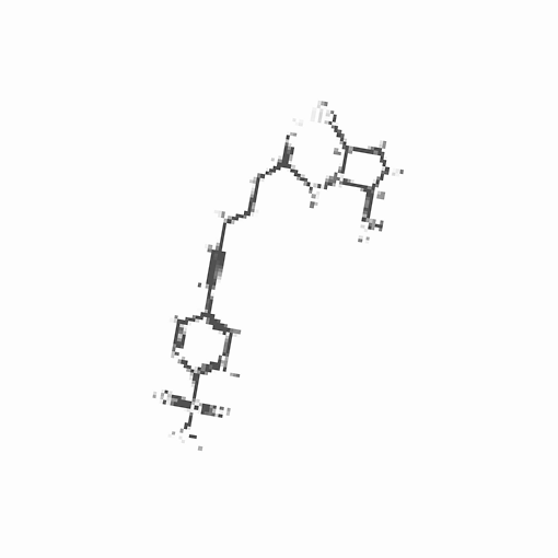 CS(=O)(=O)c1ncc(C#CCCCC(=O)ON2C(O)CCC2O)cn1